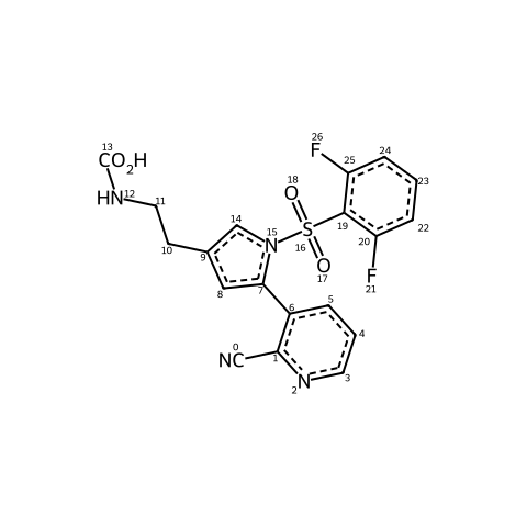 N#Cc1ncccc1-c1cc(CCNC(=O)O)cn1S(=O)(=O)c1c(F)cccc1F